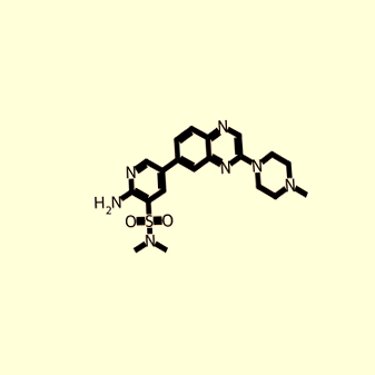 CN1CCN(c2cnc3ccc(-c4cnc(N)c(S(=O)(=O)N(C)C)c4)cc3n2)CC1